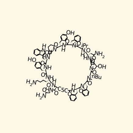 CCCC[C@H]1C(=O)N2C[C@H](O)C[C@@H]2C(=O)N[C@@H](CC(N)=O)C(=O)N[C@@H](C(C)C)C(=O)N(C)[C@@H](Cc2ccccc2)C(=O)N[C@@H](Cc2ccc(O)cc2)C(=O)N2CCCC[C@@H]2C(=O)N[C@@H](Cc2c[nH]c3ccccc23)C(=O)N[C@@H](Cc2ccc(O)cc2)C(=O)N[C@@H](CCCCN)C(=O)N[C@H](C(=O)NCC(N)=O)CSCC(=O)N[C@@H](Cc2ccccc2)C(=O)N(C)[C@@H](Cc2ccccc2)C(=O)N1C